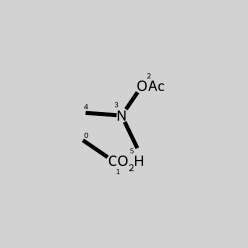 CC(=O)O.CC(=O)ON(C)C